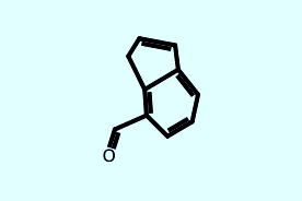 O=Cc1cccc2c1CC=C2